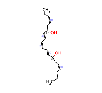 CC/C=C\C[C@H](O)/C=C/C=C\C=C\[C@@H](O)C/C=C\CCC